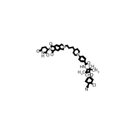 CC1(C)[C@H](NC(=O)c2ccc(N3CCC(CCCN4Cc5cc6c(cc5C4)C(=O)N(C4CCC(=O)NC4=O)C6=O)CC3)cc2)C(C)(C)[C@H]1Oc1ccc(C#N)c(Cl)c1